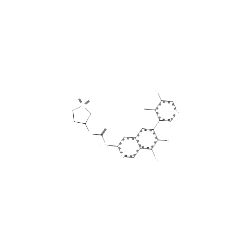 Cc1c(N)cncc1-c1cc2cc(NC(=O)OC3CCS(=O)(=O)C3)ncc2c(N)c1F